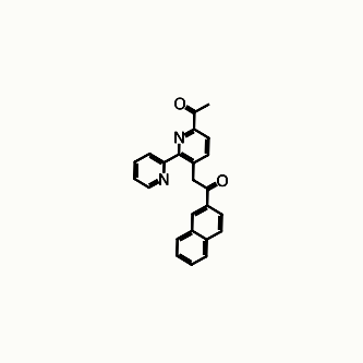 CC(=O)c1ccc(CC(=O)c2ccc3ccccc3c2)c(-c2ccccn2)n1